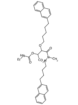 CCNC(=O)OC(C(=O)O)C(OCCCCCc1ccc2ccccc2c1)C(=O)N(C)CCCCCc1ccc2ccccc2c1